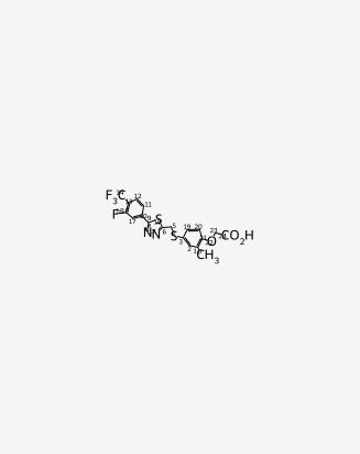 Cc1cc(SCc2nnc(-c3ccc(C(F)(F)F)c(F)c3)s2)ccc1OCC(=O)O